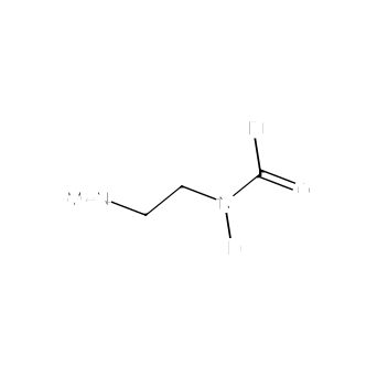 CCC(=O)N(CC)CCNC